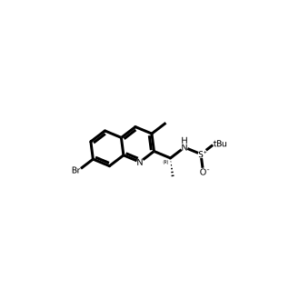 Cc1cc2ccc(Br)cc2nc1[C@@H](C)N[S+]([O-])C(C)(C)C